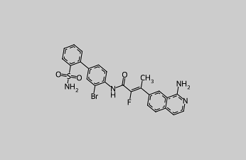 CC(=C(F)C(=O)Nc1ccc(-c2ccccc2S(N)(=O)=O)cc1Br)c1ccc2ccnc(N)c2c1